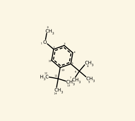 COc1ccc(C(C)(C)C)c(C(C)(C)C)c1